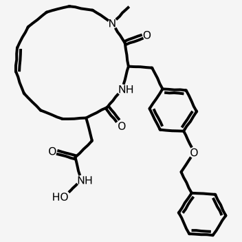 CN1CCCCC=CCCCC(CC(=O)NO)C(=O)NC(Cc2ccc(OCc3ccccc3)cc2)C1=O